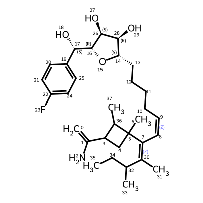 C=C(N)C1CC(C)(C(/C=C\CCCC[C@@H]2O[C@H]([C@@H](O)c3ccc(F)cc3)[C@@H](O)[C@H]2O)=C(/C)C(C)CC)C1C